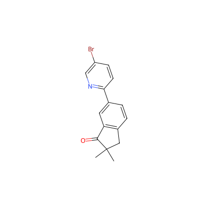 CC1(C)Cc2ccc(-c3ccc(Br)cn3)cc2C1=O